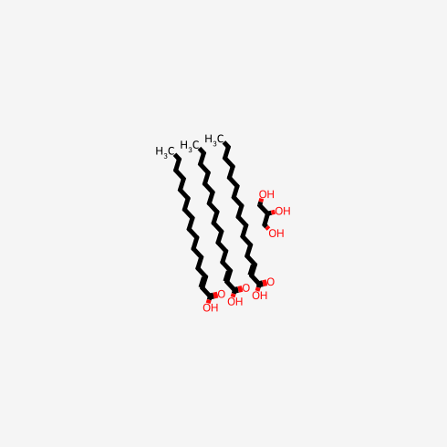 CCCCCCCCCCCCCC=CC(=O)O.CCCCCCCCCCCCCC=CC(=O)O.CCCCCCCCCCCCCC=CC(=O)O.OCC(O)CO